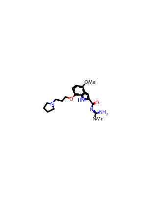 CNC(N)=NC(=O)c1cc2c(OC)ccc(OCCCN3CCCC3)c2[nH]1